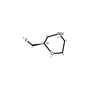 FC[C@H]1CNCCO1